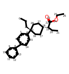 CCC[C@]1(c2ccc(-c3ccccc3)cc2)CC[C@@H](C(CC)C(=O)OCC)CC1